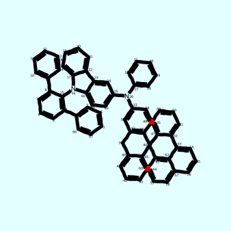 c1ccc(-c2cccc(-c3ccccc3)c2-n2c3ccccc3c3cc(N(c4ccccc4)c4ccc5c(c4)Cc4ccccc4C54c5ccccc5-c5cccc6cccc4c56)ccc32)cc1